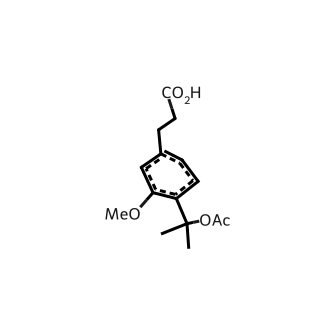 COc1cc(CCC(=O)O)ccc1C(C)(C)OC(C)=O